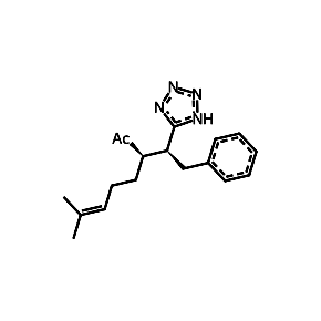 CC(=O)[C@H](CCC=C(C)C)[C@H](Cc1ccccc1)c1nnn[nH]1